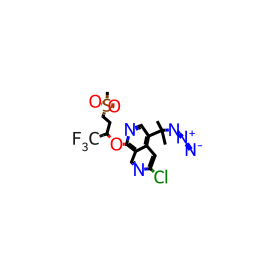 CC(C)(N=[N+]=[N-])c1cnc(OC(CCS(C)(=O)=O)C(F)(F)F)c2cnc(Cl)cc12